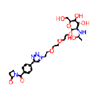 CC(O)NC1C(OCCOCCOCCn2cc(-c3ccc(C(=O)N4CCC4=O)cc3)nn2)OC(CO)C(O)[C@@H]1O